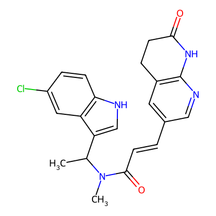 CC(c1c[nH]c2ccc(Cl)cc12)N(C)C(=O)C=Cc1cnc2c(c1)CCC(=O)N2